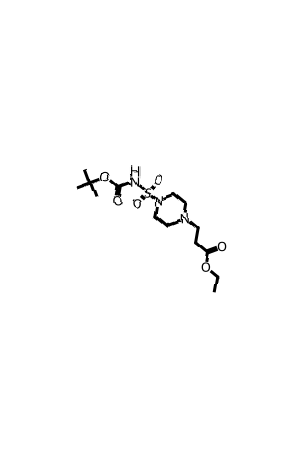 CCOC(=O)CCN1CCN(S(=O)(=O)NC(=O)OC(C)(C)C)CC1